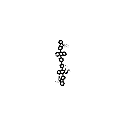 C=Cc1c(/C=C\N)c(-c2ccc3c(c2)C(C)(C)c2ccccc2-3)c2ccccc2c1-c1ccc(-c2ccc(-c3c4ccccc4c(-c4ccc5c(c4)C(C)(C)c4ccccc4-5)c4ccncc34)cc2)cc1